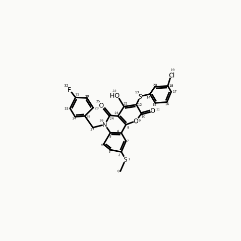 CSc1ccc2c(c1)c1oc(=O)c(Sc3cccc(Cl)c3)c(O)c1c(=O)n2Cc1ccc(F)cc1